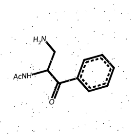 CC(=O)NC(CN)C(=O)c1ccccc1